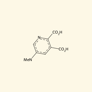 CNc1cnc(C(=O)O)c(C(=O)O)c1